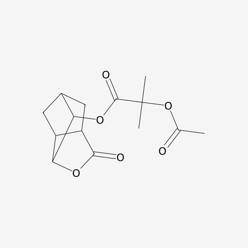 CC(=O)OC(C)(C)C(=O)OC1C2CC3C(=O)OC1C3C2